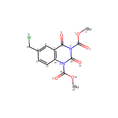 CC(C)(C)OC(=O)n1c(=O)c2cc(CBr)ccc2n(C(=O)OC(C)(C)C)c1=O